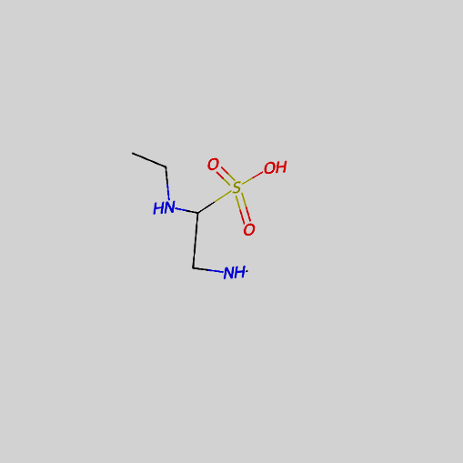 CCNC(C[NH])S(=O)(=O)O